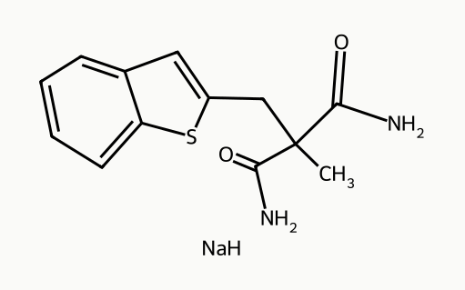 CC(Cc1cc2ccccc2s1)(C(N)=O)C(N)=O.[NaH]